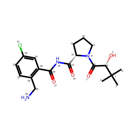 CC(C)(C)[C@@H](O)C(=O)N1CCC[C@H]1C(=O)NC(=O)c1cc(Cl)ccc1CN